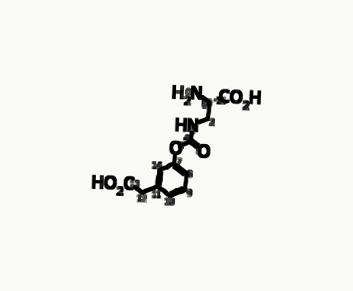 N[C@@H](CNC(=O)Oc1cccc(CC(=O)O)c1)C(=O)O